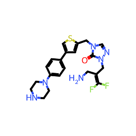 NCC(Cn1ncn(Cc2cc(-c3ccc(N4CCNCC4)cc3)cs2)c1=O)=C(F)F